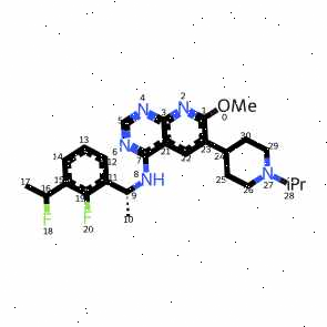 COc1nc2ncnc(N[C@H](C)c3cccc(C(C)F)c3F)c2cc1C1CCN(C(C)C)CC1